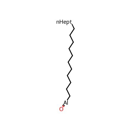 CCCCCCCCCCCCCCCCC[CH2][Al]=[O]